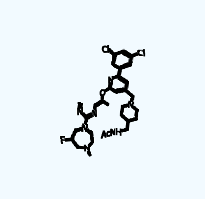 C=N/C(=N\C=C(/C)Oc1cc(CN2CCC(CNC(C)=O)CC2)cc(-c2cc(Cl)cc(Cl)c2)n1)N1CCN(C)CC(F)C1